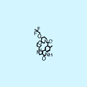 CC1C=c2[nH]c(=O)c3cnn([C@H]4CCOC4)c3c2=CC1C(=O)N1CCC(OCC(C)(F)F)CC1